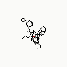 CCCn1nc(NC2C3CCC2CN(c2cnnc(OC)c2)C3)nc1Oc1cccc(Cl)c1